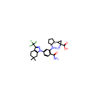 CC1(C)CCc2c(C(F)(F)F)nn(-c3ccc(C(N)=O)c(N[C@H]4CCC[C@H]4C4CC4(N)C(=O)O)c3)c2C1